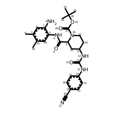 Cc1cc(N)c(NC(=O)C2CC(NC(=O)Nc3ccc(C#N)cc3)CCN2C(=O)OC(C)(C)C)cc1C